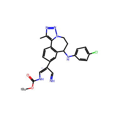 Cc1nnn2c1-c1ccc(/C(C=N)=C/NC(=O)OC(C)(C)C)cc1C(Nc1ccc(Cl)cc1)CC2